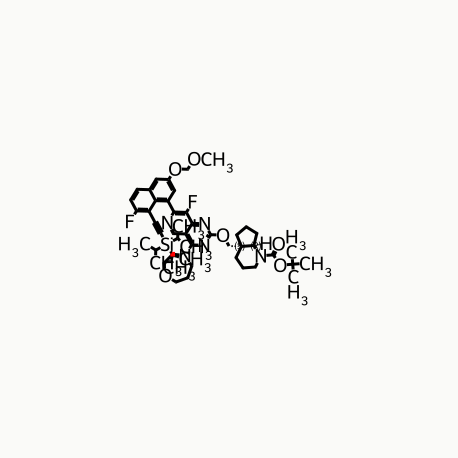 COCOc1cc(-c2ncc3c(N4CCCOCC4)nc(OC[C@]45CCC[C@H]4N(C(=O)OC(C)(C)C)CCC5)nc3c2F)c2c(C#C[Si](C(C)C)(C(C)C)C(C)C)c(F)ccc2c1